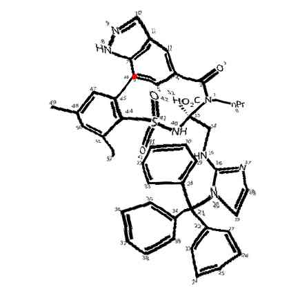 CCCN(C(=O)c1ccc2[nH]ncc2c1)[C@@](CNc1nccn1C(c1ccccc1)(c1ccccc1)c1ccccc1)(NS(=O)(=O)c1c(C)cc(C)cc1C)C(=O)O